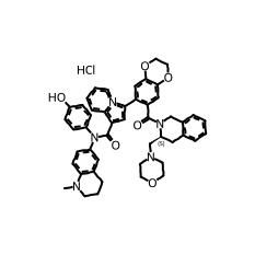 CN1CCCc2cc(N(C(=O)c3cc(-c4cc5c(cc4C(=O)N4Cc6ccccc6C[C@H]4CN4CCOCC4)OCCO5)n4ccccc34)c3ccc(O)cc3)ccc21.Cl